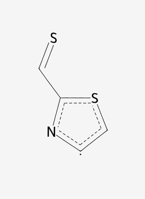 S=Cc1n[c]cs1